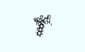 CC1(C)C(C=C(Cl)Cl)[C@]1(C(=O)O)[C@H](C#N)c1ccc(F)c(Oc2ccccc2)c1